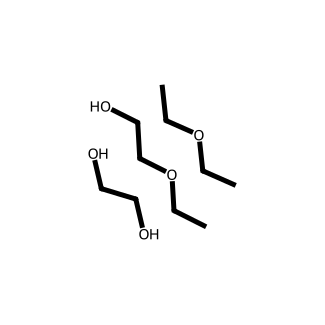 CCOCC.CCOCCO.OCCO